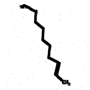 CC=CCCCCCS[CH]CC